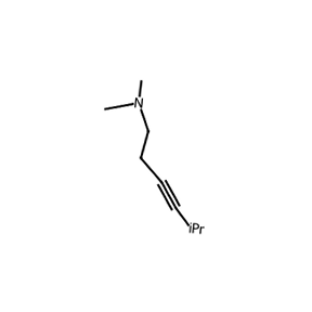 CC(C)C#CCCN(C)C